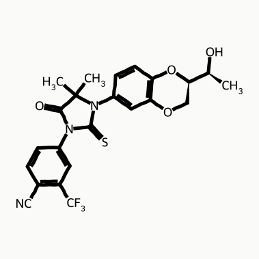 C[C@H](O)[C@H]1COc2cc(N3C(=S)N(c4ccc(C#N)c(C(F)(F)F)c4)C(=O)C3(C)C)ccc2O1